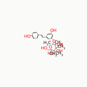 CC1(O)C(C)(O)[C@](C)(O)C(C)(CO)O[C@@]1(C)Oc1cc(O)cc(/C=C/c2ccc(O)cc2)c1